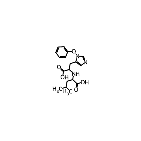 CC(C)CC(NC(Cc1cncn1Oc1ccccc1)C(=O)O)C(=O)O